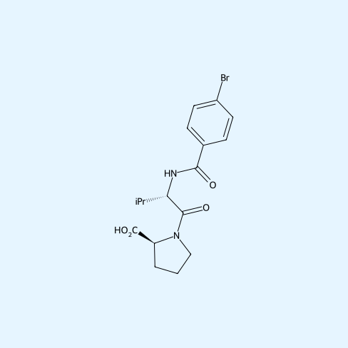 CC(C)[C@H](NC(=O)c1ccc(Br)cc1)C(=O)N1CCC[C@H]1C(=O)O